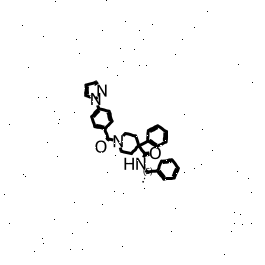 C[C@H](NC(=O)C1(c2ccccc2)CCN(C(=O)c2ccc(-n3cccn3)cc2)CC1)c1ccccc1